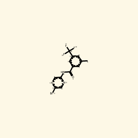 Cc1cc(C(=O)Nc2cnc(Br)cn2)cc(C(F)(F)F)c1